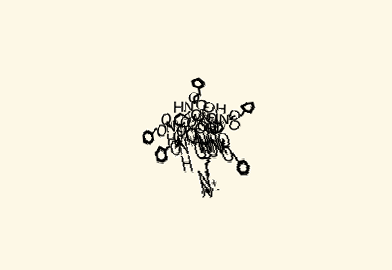 [N-]=[N+]=NCCCS(=O)(=O)N[C@@H]1C[C@H](NC(=O)OCc2ccccc2)[C@@H](O[C@H]2O[C@H](CNC(=O)OCc3ccccc3)C=C[C@H]2NC(=O)OCc2ccccc2)[C@H](O[C@@H]2O[C@H](CO)[C@@H](O[C@H]3O[C@@H](CNC(=O)OCc4ccccc4)C=C[C@H]3NC(=O)OCc3ccccc3)[C@H]2O)[C@H]1O